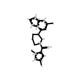 Cc1cc(C2CCCN(C(=O)c3cc(C)nn3C)C2)n2ncnc2n1